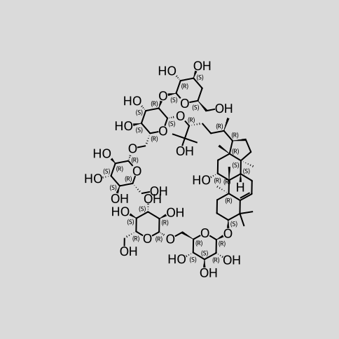 C[C@H](CC[C@@H](O[C@@H]1O[C@H](CO[C@@H]2O[C@H](CO)[C@@H](O)[C@H](O)[C@H]2O)[C@@H](O)[C@H](O)[C@H]1O[C@@H]1O[C@H](CO)C[C@H](O)[C@H]1O)C(C)(C)O)[C@H]1CC[C@@]2(C)[C@@H]3CC=C4C(C)(C)[C@@H](O[C@@H]5O[C@H](CO[C@@H]6O[C@H](CO)[C@@H](O)[C@H](O)[C@H]6O)[C@@H](O)[C@H](O)[C@H]5O)CC[C@@]4(C)[C@]3(C)[C@H](O)C[C@]12C